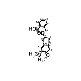 COc1cc2ncc(OCc3ccccc3B(O)O)nc2cc1OC